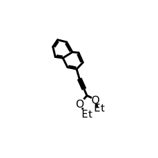 CCOC(C#Cc1ccc2ccccc2c1)OCC